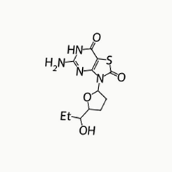 CCC(O)C1CCC(n2c(=O)sc3c(=O)[nH]c(N)nc32)O1